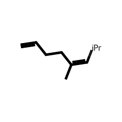 C=CCCC(C)=CC(C)C